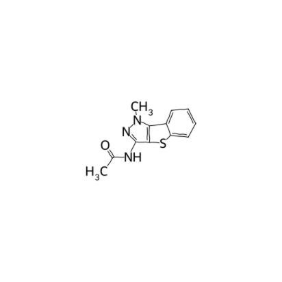 CC(=O)Nc1nn(C)c2c1sc1ccccc12